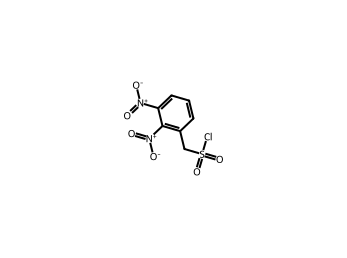 O=[N+]([O-])c1cccc(CS(=O)(=O)Cl)c1[N+](=O)[O-]